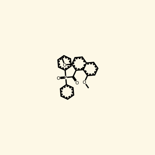 COc1ccc2cccc(OC)c2c1C(=O)P(=O)(c1ccccc1)c1ccccc1